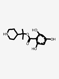 CC(C)(OC(=O)c1c(O)cc(O)cc1O)C1CCNCC1